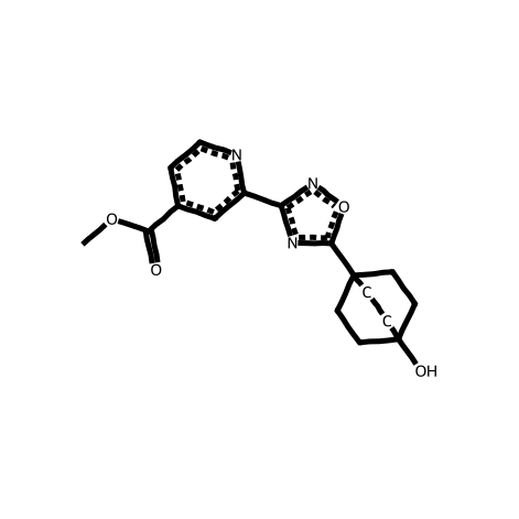 COC(=O)c1ccnc(-c2noc(C34CCC(O)(CC3)CC4)n2)c1